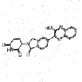 O=C1CCC(N2Cc3cc(-c4nc5ccccc5nc4O)ccc3C2=O)C(=O)N1